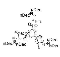 CCCCCCCCCCN(CCCCCCCCCC)CCC(C)OC(=O)[C@H]1C[C@@H](C(=O)OC(C)CCN(CCCCCCCCCC)CCCCCCCCCC)C[C@@H](C(=O)OC(C)CCN(CCCCCCCCCC)CCCCCCCCCC)C1